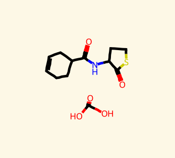 O=C(NC1CCSC1=O)C1CC=CCC1.O=C(O)O